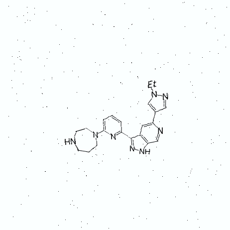 CCn1cc(-c2cc3c(-c4cccc(N5CCCNCC5)n4)n[nH]c3cn2)cn1